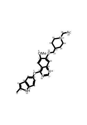 COc1cc2c(Oc3ccc4[nH]c(C)cc4c3)ncnc2cc1OCC1CCN(CC(C)=O)CC1